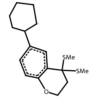 CSC1(SC)CCOc2ccc(C3[CH]CCCC3)cc21